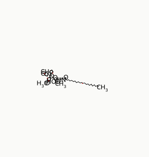 CCCCCCCCCCCCCCCCCCCCCC(=O)NCCC[C@@H]1O[C@H](COC(c2ccccc2)(c2ccc(OC)cc2)c2ccc(OC)cc2)[C@@H](O)[C@H]1OC